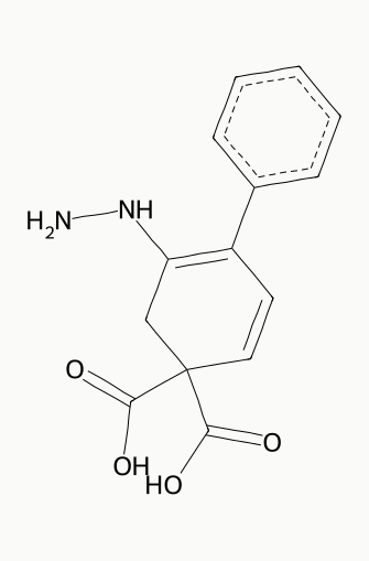 NNC1=C(c2ccccc2)C=CC(C(=O)O)(C(=O)O)C1